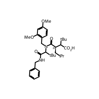 COc1ccc(CN(C(=O)[C@H](CC(C)C)C(C(=O)O)C(C)(C)C)C(C(=O)NCc2ccccc2)C(C)(C)C)c(OC)c1